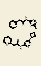 O=C(Cc1ccccn1)Nc1nnc(C[C@H]2C[C@H](c3nnc(NC(=O)Cc4ccccn4)s3)C2)s1